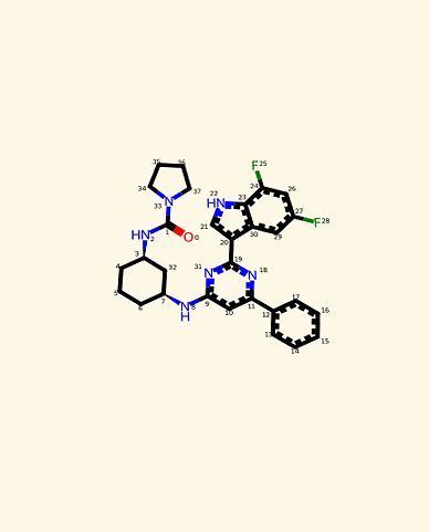 O=C(N[C@@H]1CCC[C@H](Nc2cc(-c3ccccc3)nc(-c3c[nH]c4c(F)cc(F)cc34)n2)C1)N1CCCC1